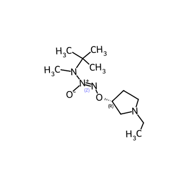 CCN1CC[C@@H](O/N=[N+](\[O-])N(C)C(C)(C)C)C1